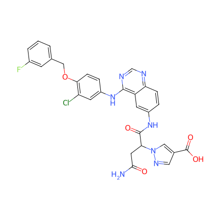 NC(=O)CC(C(=O)Nc1ccc2ncnc(Nc3ccc(OCc4cccc(F)c4)c(Cl)c3)c2c1)n1cc(C(=O)O)cn1